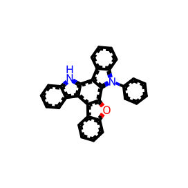 c1ccc(-n2c3ccccc3c3c4[nH]c5ccccc5c4c4c5ccccc5oc4c32)cc1